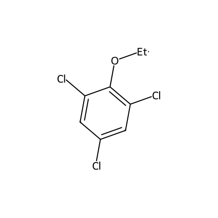 C[CH]Oc1c(Cl)cc(Cl)cc1Cl